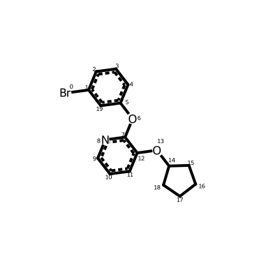 Brc1cccc(Oc2ncccc2OC2CCCC2)c1